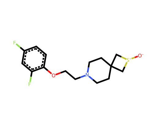 [O-][S+]1CC2(CCN(CCOc3ccc(F)cc3F)CC2)C1